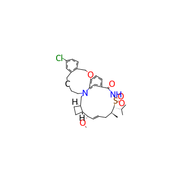 CO[C@H]1/C=C/C[C@H](C)[C@@H](C(C)C)S(=O)(=O)NC(=O)c2ccc3c(c2)N(CCCCc2cc(Cl)ccc2CO3)C[C@@H]2CC[C@H]21